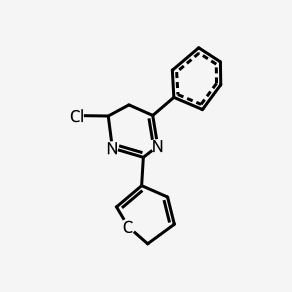 ClC1CC(c2ccccc2)=NC(C2=CCCC=C2)=N1